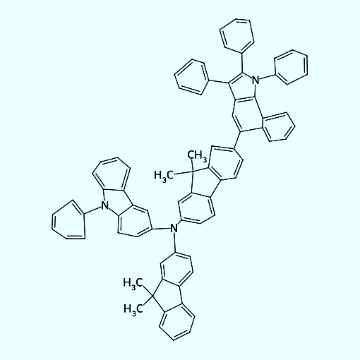 CC1(C)c2ccccc2-c2ccc(N(c3ccc4c(c3)C(C)(C)c3cc(-c5cc6c(-c7ccccc7)c(-c7ccccc7)n(-c7ccccc7)c6c6ccccc56)ccc3-4)c3ccc4c(c3)c3ccccc3n4-c3ccccc3)cc21